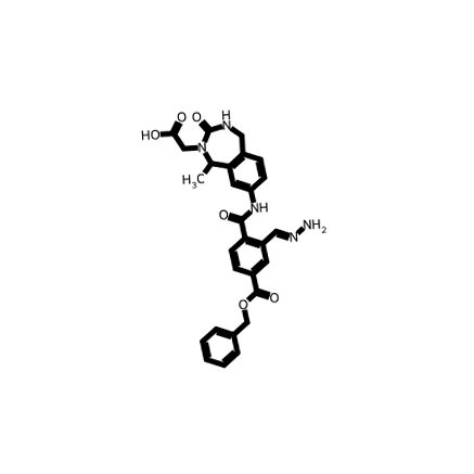 CC1c2cc(NC(=O)c3ccc(C(=O)OCc4ccccc4)cc3C=NN)ccc2CNC(=O)N1CC(=O)O